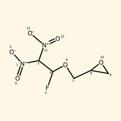 O=[N+]([O-])C(C(F)OCC1CO1)[N+](=O)[O-]